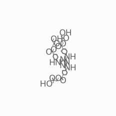 O=C(CO)COC(=O)c1ccc(Nc2nc(Nc3ccc(C(=O)OCC(=O)CO)cc3)nc(Nc3ccc(C(=O)OCC(=O)CO)cc3)n2)cc1